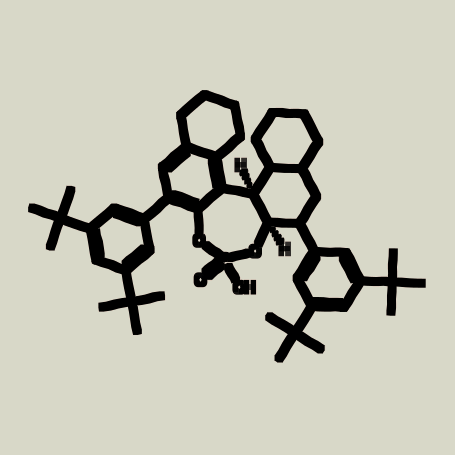 CC(C)(C)c1cc(-c2cc3c(c4c2OP(=O)(O)O[C@@H]2C(c5cc(C(C)(C)C)cc(C(C)(C)C)c5)CC5CCCCC5[C@H]42)CCCC3)cc(C(C)(C)C)c1